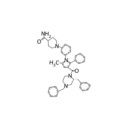 Cc1cc(C(=O)N2CCN(Cc3ccccc3)C[C@H]2Cc2ccccc2)c(-c2ccccc2)n1-c1cccc(N2CCC(C(N)=O)CC2)c1